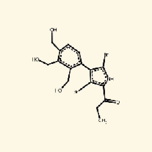 CCC(=O)c1[nH]c(Br)c(-c2ccc(CO)c(CO)c2CO)c1Br